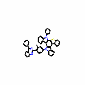 Cc1cc(-n2c3ccccc3c3c4c5ccccc5sc4c4c(c5ccccc5n4-c4ccccc4)c32)ccc1-c1nc(-c2ccccc2)c2ccccc2n1